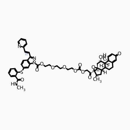 CNC(=O)c1ccccc1Sc1ccc2c(/C=C/c3ccccn3)nn(C(=O)OCCOCCOCCOC(=O)OCC(=O)[C@]34O[C@@]35C[C@H](O)[C@@]3(F)[C@@H](CCC6=CC(=O)C=C[C@@]63C)[C@@H]5C[C@H]4C)c2c1